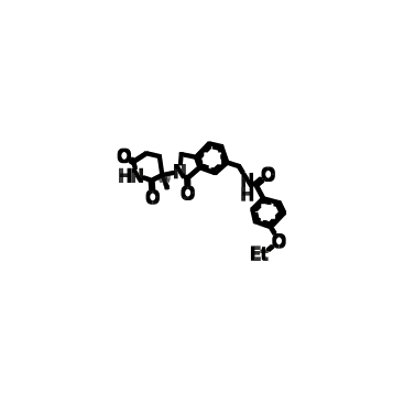 CCOc1ccc(C(=O)NCc2ccc3c(c2)C(=O)N([C@@]2(C)CCC(=O)NC2=O)C3)cc1